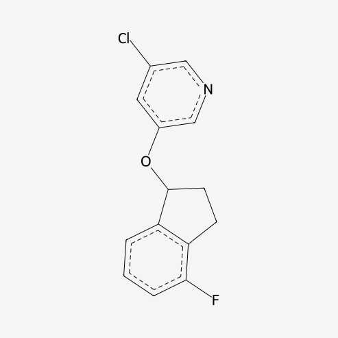 Fc1cccc2c1CCC2Oc1cncc(Cl)c1